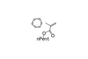 C=C(C)C(=O)OCCCCC.c1ccccc1